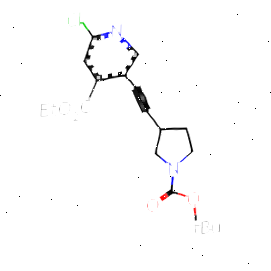 CCOC(=O)c1cc(Cl)ncc1C#CC1CCN(C(=O)OC(C)(C)C)C1